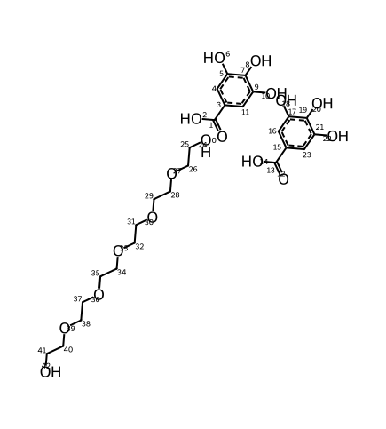 O=C(O)c1cc(O)c(O)c(O)c1.O=C(O)c1cc(O)c(O)c(O)c1.OCCOCCOCCOCCOCCOCCO